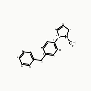 ON1CC=CN1c1ccc(Cc2ccccc2)cc1